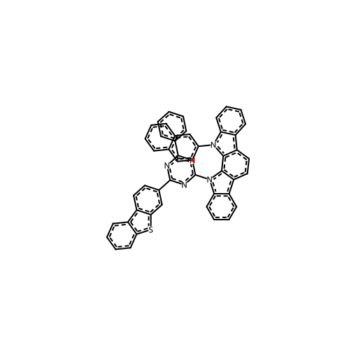 c1ccc(-c2nc(-c3ccc4c(c3)sc3ccccc34)nc(-n3c4ccccc4c4ccc5c6ccccc6n(-c6ccc7ccccc7c6)c5c43)n2)cc1